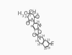 CC1(C)CC(=O)N(c2ccc(OC(=O)N3CCc4ccc(F)cc4C3)nc2)C(=O)C1